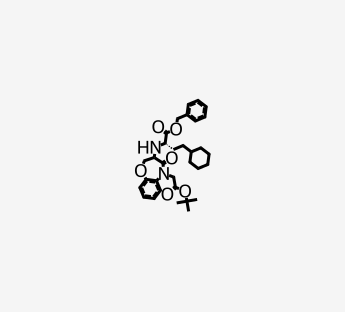 CC(C)(C)OC(=O)CN1C(=O)C(N[C@@H](CCC2CCCCC2)C(=O)OCc2ccccc2)COc2ccccc21